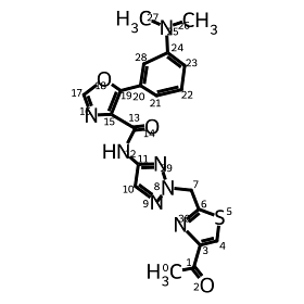 CC(=O)c1csc(Cn2ncc(NC(=O)c3ncoc3-c3cccc(N(C)C)c3)n2)n1